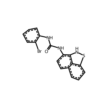 O=C(Nc1ccccc1Br)Nc1ccc2cccc3c2c1NS3